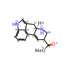 COC(=O)C1C=C2c3cccc4[nH]cc(c34)C[C@H]2NC1